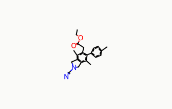 CCOC(=O)Cc1c(C)c2c(c(C)c1-c1ccc(C)cc1)CN(C#N)C2